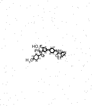 CCn1cncc1C(=O)Nc1ccc(-c2cc(N(C(=O)C3CCC(C)CC3)C(C)C)c(C(=O)O)s2)cc1